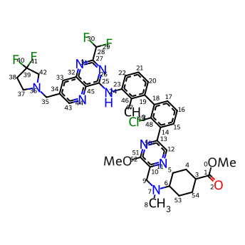 COC(=O)C1CCC(N(C)Cc2ncc(-c3cccc(-c4cccc(Nc5nc(C(F)F)nc6cc(CN7CCC(F)(F)C7)cnc56)c4C)c3Cl)nc2OC)CC1